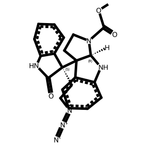 COC(=O)N1CCC2([C@@]3(CCN=[N+]=[N-])C(=O)Nc4ccccc43)c3ccccc3N[C@H]12